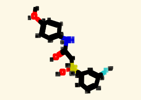 COc1ccc(NC(=O)C[S@+]([O-])c2cccc(F)c2)cc1